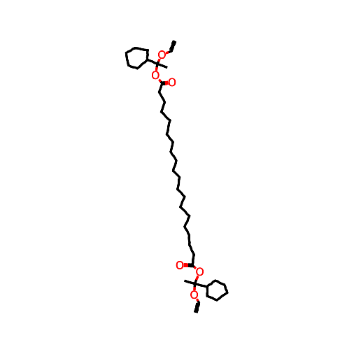 C=COC(C)(OC(=O)CCCCCCCCCCCCCCCCCCC(=O)OC(C)(OC=C)C1CCCCC1)C1CCCCC1